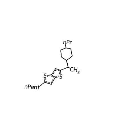 CCCCCc1cc2sc(C(C)C3CCC(CCC)CC3)cc2s1